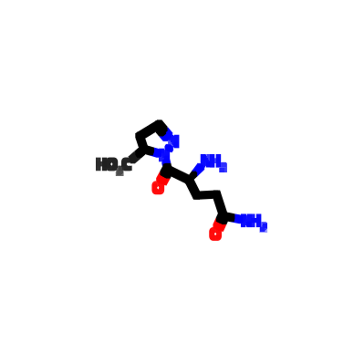 NC(=O)CC[C@H](N)C(=O)N1N=CCC1C(=O)O